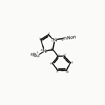 CCCCCCCCCN1C=CN(CCCC)C1c1ccccc1